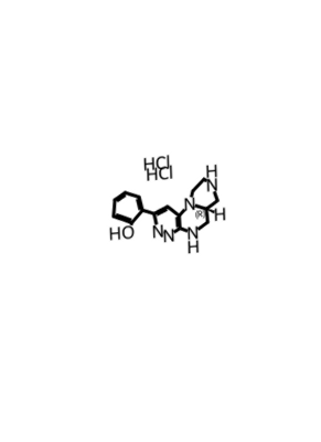 Cl.Cl.Oc1ccccc1-c1cc2c(nn1)NC[C@H]1CNCCN21